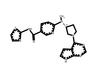 CN(c1ccc(C(=O)Nc2nccs2)cn1)[C@@H]1CCN(c2ncnc3[nH]ccc23)C1